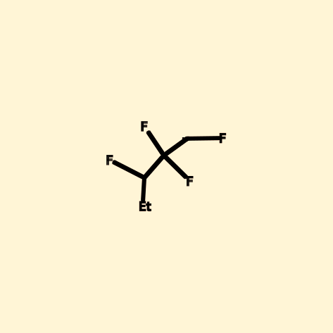 CCC(F)C(F)(F)[CH]F